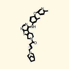 Cc1ccc(Oc2ccc(Nc3ncnc4sc5c(c34)CCN(C(=O)/C=C/CN3CC4CCC(C4)C3)C5)cc2C)cn1